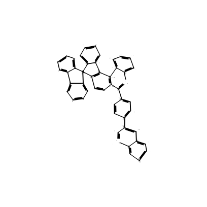 c1ccc2c(c1)-c1ccccc1C21c2ccccc2-c2c1ccc1c(-c3ccc(-c4cnc5ccccc5c4)cc3)nc3ccccc3c21